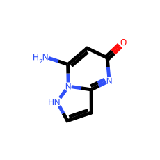 Nc1cc(=O)nc2cc[nH]n12